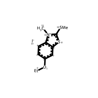 CCOc1ccc2c(c1)sc(SC)[n+]2C.[I-]